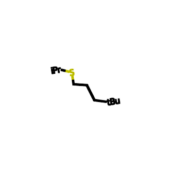 CC(C)SCCCC(C)(C)C